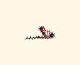 CCCCCCCCCCCCCC(CCC(O)CC1CCCO1)COCc1ccccc1